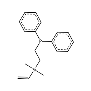 C=C[Si](C)(C)CCP(c1ccccc1)c1ccccc1